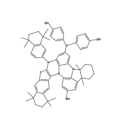 CC(C)(C)c1ccc(N(c2ccc(C(C)(C)C)cc2)c2cc3c4c(c2)N2c5c(cc(C(C)(C)C)cc5C5(C)CCCCC25C)B4c2c(sc4cc5c(cc24)C(C)(C)CCC5(C)C)N3c2ccc3c(c2)C(C)(C)CCC3(C)C)cc1